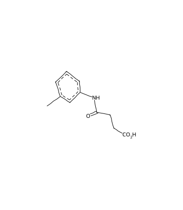 Cc1cccc(NC(=O)CCC(=O)O)c1